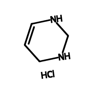 C1=CNCNC1.Cl